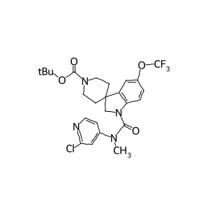 CN(C(=O)N1CC2(CCN(C(=O)OC(C)(C)C)CC2)c2cc(OC(F)(F)F)ccc21)c1ccnc(Cl)c1